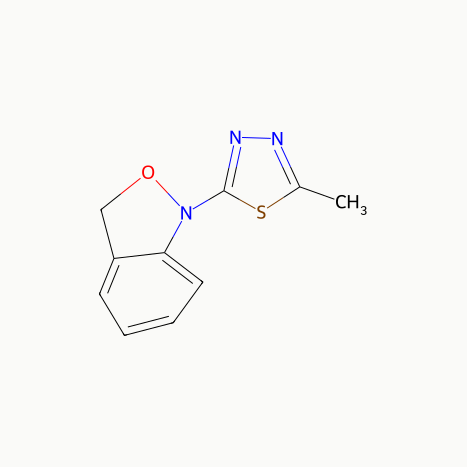 Cc1nnc(N2OCc3ccccc32)s1